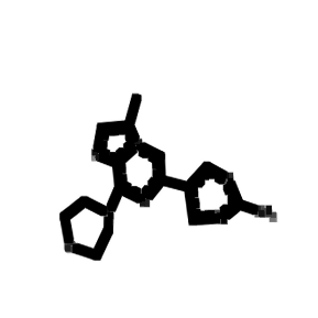 Cc1cnc2c(N3CCOCC3)nc(-c3cnc(N)nc3)cn12